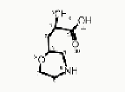 CC(CC1CNCCO1)C(=O)O